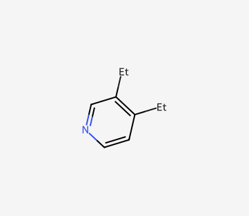 CCc1ccncc1CC